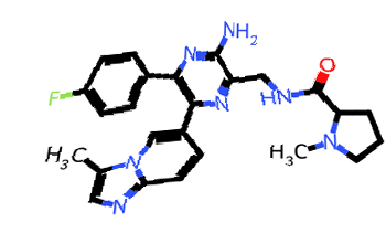 Cc1cnc2ccc(-c3nc(CNC(=O)C4CCCN4C)c(N)nc3-c3ccc(F)cc3)cn12